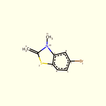 C=C1Sc2ccc(Br)cc2N1C